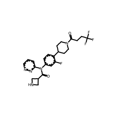 O=C(CCC(F)(F)F)N1CCC(c2ccc(N(C(=O)C3CNC3)c3cccnn3)cc2F)CC1